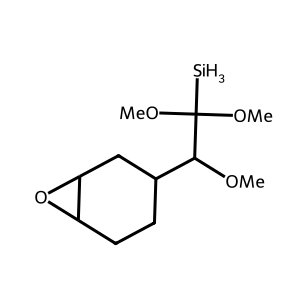 COC(C1CCC2OC2C1)C([SiH3])(OC)OC